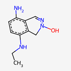 CCNc1ccc(N)c2c1CN(O)N=C2